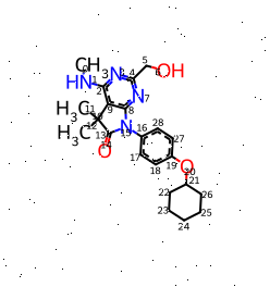 CNc1nc(CO)nc2c1C(C)(C)C(=O)N2c1ccc(OC2CCCCC2)cc1